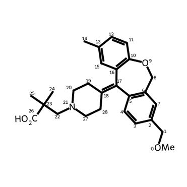 COCc1ccc2c(c1)COc1ccc(C)cc1C2=C1CCN(CC(C)(C)C(=O)O)CC1